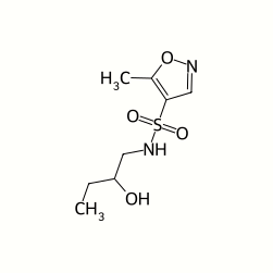 CCC(O)CNS(=O)(=O)c1cnoc1C